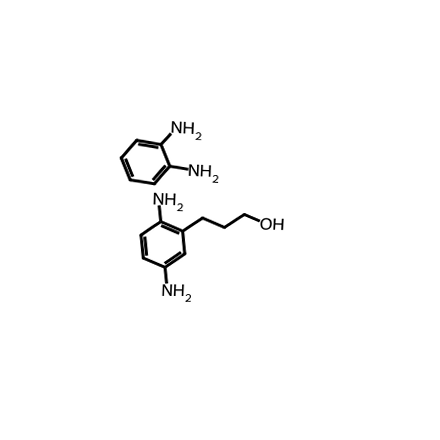 Nc1ccc(N)c(CCCO)c1.Nc1ccccc1N